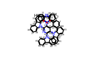 Cc1ccc(-c2ccccc2-c2c(-n3c4ccccc4c4ccccc43)c(-n3c4ccccc4c4ccccc43)nc(-n3c4ccccc4c4ccccc43)c2-n2c3ccccc3c3ccccc32)c(C)n1